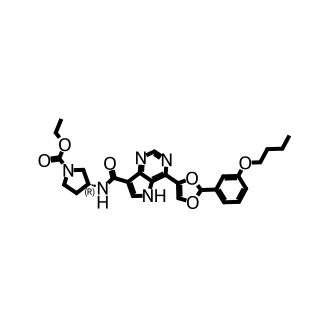 CCCCOc1cccc(C2OC=C(c3ncnc4c(C(=O)N[C@@H]5CCN(C(=O)OCC)C5)c[nH]c34)O2)c1